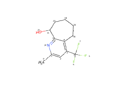 Cc1cc(C(F)(F)F)c2c(n1)C(O)CCCC2